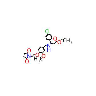 CCOC(=O)CC(NCc1ccc(OCCN2C(=O)CCC2=O)c(OC)c1)c1ccc(Cl)cc1